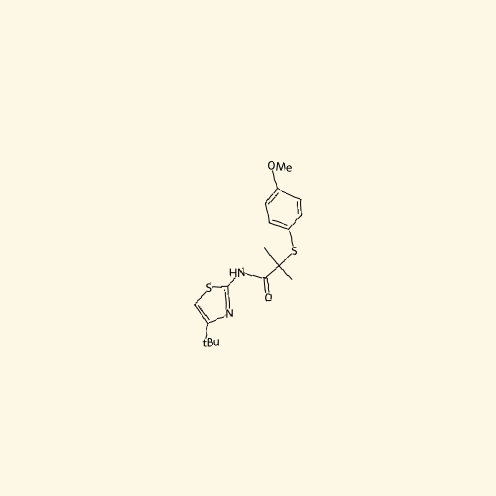 COc1ccc(SC(C)(C)C(=O)Nc2nc(C(C)(C)C)cs2)cc1